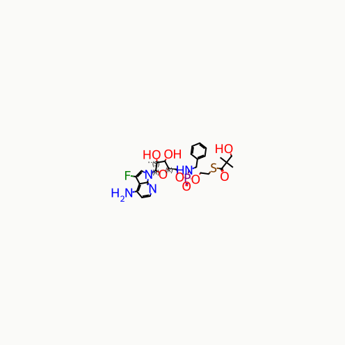 CC(C)(CO)C(=O)SCCOP(=O)(NCc1ccccc1)OC[C@H]1O[C@@H](n2cc(F)c3c(N)ccnc32)[C@@](C)(O)C1O